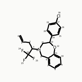 C=CCC(N1Cc2ccccc2OC(c2ccc(Cl)cc2)C1)C(F)(F)F